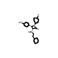 O=C1[C@H]([S+]([O-])CCc2ccccc2)[C@@H](c2ccc(O)cc2)N1c1ccc(F)cc1